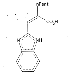 CCCCCC(=Cc1nc2ccccc2[nH]1)C(=O)O